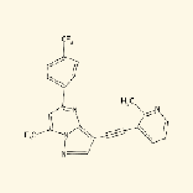 Cc1ncccc1C#Cc1cnn2c(C(F)(F)F)cc(-c3ccc(C(F)(F)F)cc3)nc12